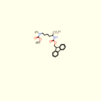 CC(C)N(CCCCC(NC(=O)OCC1c2ccccc2-c2ccccc21)C(=O)O)C(=O)OC(C)(C)C